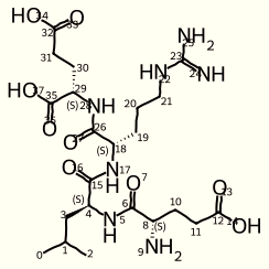 CC(C)C[C@H](NC(=O)[C@@H](N)CCC(=O)O)C(=O)N[C@@H](CCCNC(=N)N)C(=O)N[C@@H](CCC(=O)O)C(=O)O